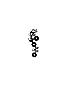 COC(=O)C(NC(=O)c1onc(-c2ccc(NC(=O)Nc3ccccc3)cc2)c1-c1ccccc1)C(C)C